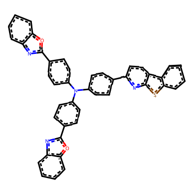 c1ccc2oc(-c3ccc(N(c4ccc(-c5ccc6c(n5)sc5ccccc56)cc4)c4ccc(-c5nc6ccccc6o5)cc4)cc3)nc2c1